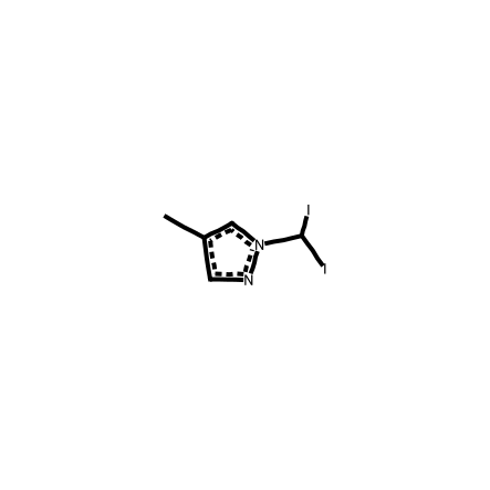 Cc1cnn(C(I)I)c1